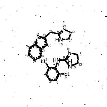 CCc1cccc(CC)c1NC1=NCCN1.c1ccc2sc(CC3=NCCN3)cc2c1